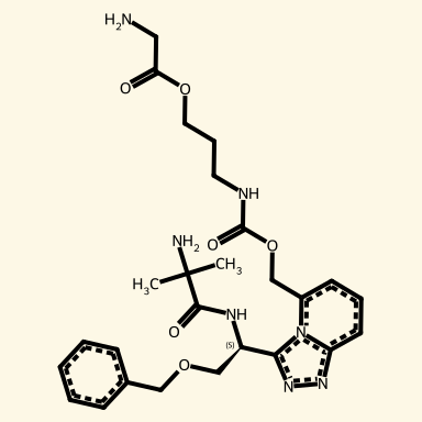 CC(C)(N)C(=O)N[C@H](COCc1ccccc1)c1nnc2cccc(COC(=O)NCCCOC(=O)CN)n12